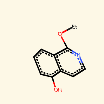 CCOc1nccc2c(O)cccc12